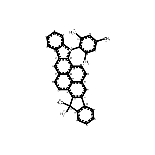 Cc1cc(C)c(-n2c3ccccc3c3cc4ccc5c6c(cc7ccc(c4c75)c32)-c2ccccc2C6(C)C)c(C)c1